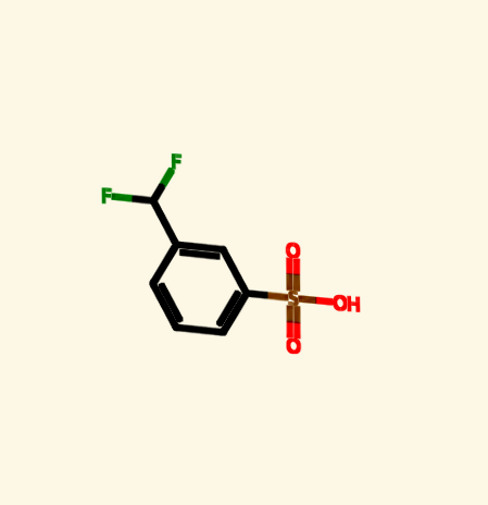 O=S(=O)(O)c1cccc(C(F)F)c1